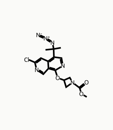 COC(=O)N1CC(Oc2ncc(C(C)(C)N=[N+]=[N-])c3cc(Cl)ncc23)C1